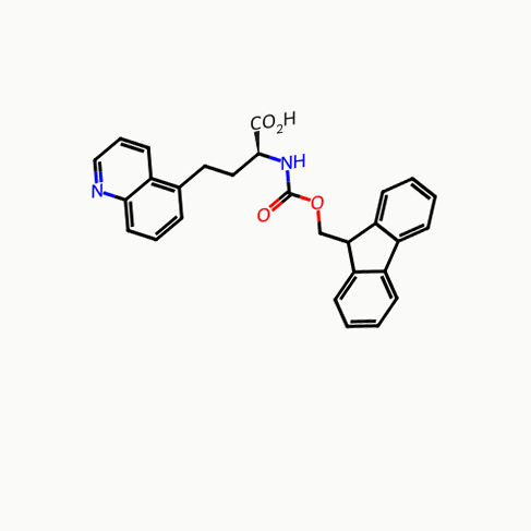 O=C(N[C@@H](CCc1cccc2ncccc12)C(=O)O)OCC1c2ccccc2-c2ccccc21